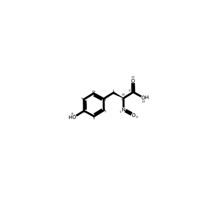 O=N[C@@H](Cc1ccc(O)cc1)C(=O)O